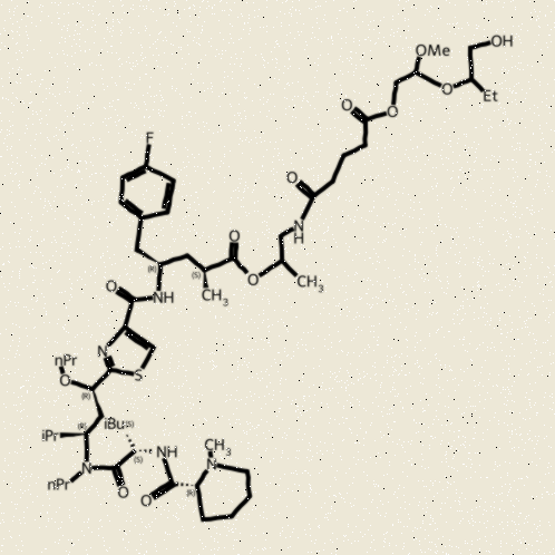 CCCO[C@H](C[C@H](C(C)C)N(CCC)C(=O)[C@@H](NC(=O)[C@H]1CCCCN1C)[C@@H](C)CC)c1nc(C(=O)N[C@@H](Cc2ccc(F)cc2)C[C@H](C)C(=O)OC(C)CNC(=O)CCCC(=O)OCC(OC)OC(CC)CO)cs1